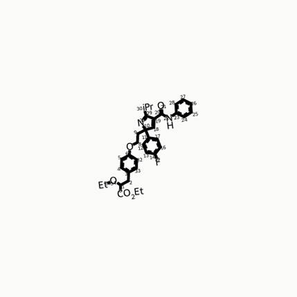 CCOC(=O)C(Cc1ccc(OCCC2(c3ccc(F)cc3)C=C(C(=O)Nc3ccccc3)C(C(C)C)=N2)cc1)OCC